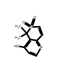 CC1(C)c2c(O)ccnc2C=CS1(=O)=O